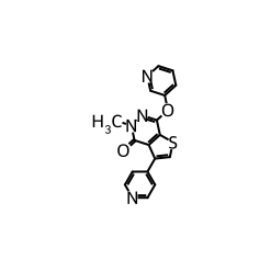 Cn1nc(Oc2cccnc2)c2scc(-c3ccncc3)c2c1=O